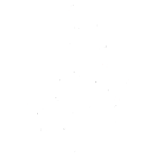 CC1C2C(=O)OC(=O)C2CC(C2CC(=O)OC2=O)C1S(=O)(=O)O